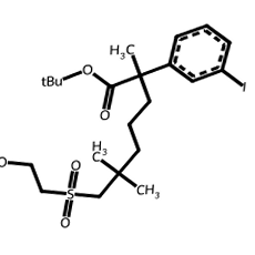 CC(C)(CCCC(C)(C(=O)OC(C)(C)C)c1cccc(I)c1)CS(=O)(=O)CCO